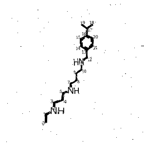 CCNCCCNCCCCNCc1ccc(C(C)C)cc1